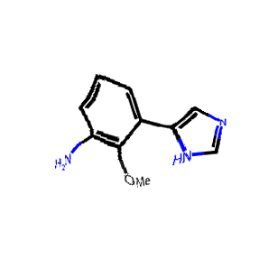 COc1c(N)cccc1-c1cnc[nH]1